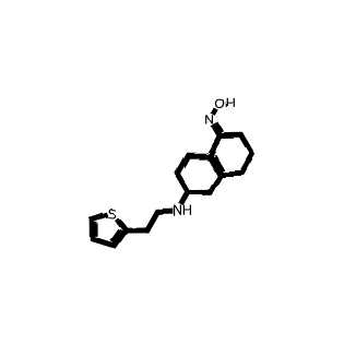 ON=C1CCCC2=C1CCC(NCCc1cccs1)C2